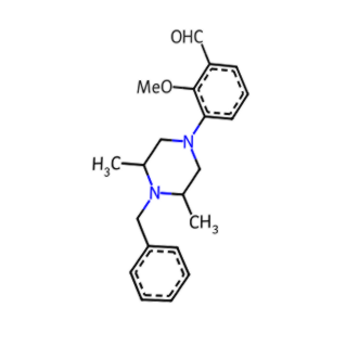 COc1c(C=O)cccc1N1CC(C)N(Cc2ccccc2)C(C)C1